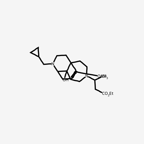 CCOC(=O)CC(N1CCC23CCN(CC4CC4)C(Cc4ccc(OC)cc42)C3(O)CC1)C(F)(F)F